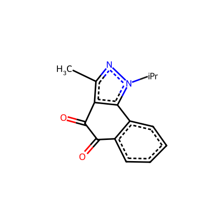 Cc1nn(C(C)C)c2c1C(=O)C(=O)c1ccccc1-2